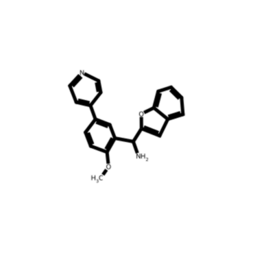 COc1ccc(-c2ccncc2)cc1C(N)c1cc2ccccc2o1